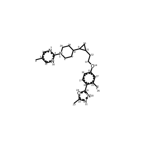 Cc1cnc(N2CCC(C3CC3CCOc3ccc(-c4nnc(C)o4)c(F)c3)CC2)nc1